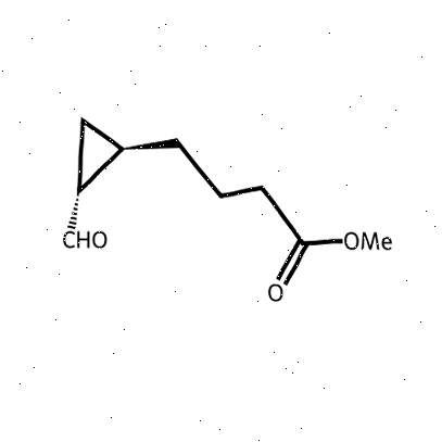 COC(=O)CCC[C@@H]1C[C@H]1C=O